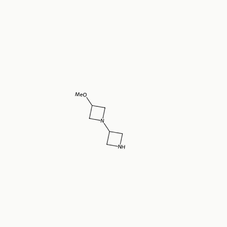 COC1CN(C2CNC2)C1